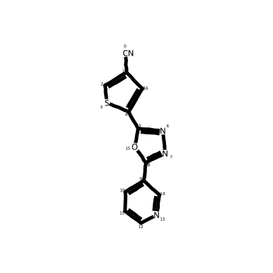 N#Cc1csc(-c2nnc(-c3cccnc3)o2)c1